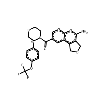 Nc1nc2ncc(C(=O)N3CCOC[C@@H]3c3ccc(OC(F)(F)F)cc3)cc2c2c1COC2